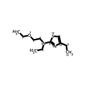 CCOCCN(CC)c1nc(CC)cs1